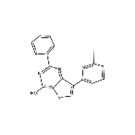 Cc1cccc(-c2csc3c(O)nc(-c4ccccn4)nc23)n1